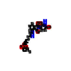 CS(=O)(=O)OCCCCCCNc1cccc2c1C(=O)N(C1CCC(=O)NC1=O)C2=O